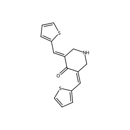 O=C1C(=Cc2cccs2)CNCC1=Cc1cccs1